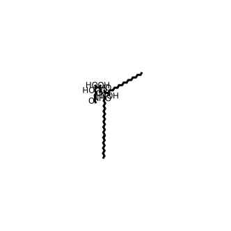 CCCCCCCC/C=C/CCCCCCCCCCCCCC(=O)N[C@@H](OC1OC(CNC(C)=O)C(O)C(O)C1O)C(O)[C@H](O)CCCCCCCCCCCCCC